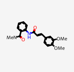 CNC(=O)c1ccccc1NC(=O)C=Cc1ccc(OC)c(OC)c1